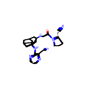 N#Cc1nccnc1NC12CC3CC(CC(NCC(=O)N4CCC[C@H]4C#N)(C3)C1)C2